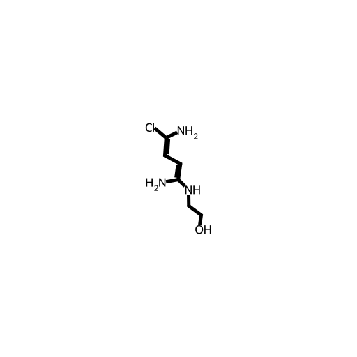 N/C(Cl)=C\C=C(/N)NCCO